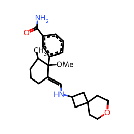 COC1(c2cccc(C(N)=O)c2)/C(=C/NC2CC3(CCOCC3)C2)CCCC1C